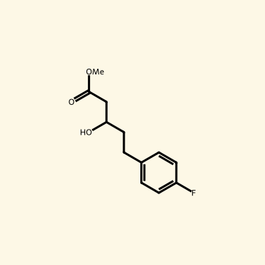 COC(=O)CC(O)CCc1ccc(F)cc1